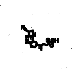 CN(CCS(=O)(=O)O)c1ccc2nnc3c(C#N)cnn3c2c1